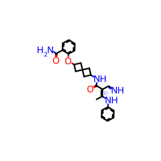 C/C(Nc1ccccc1)=C(/C=N)C(=O)NC1CC2(C1)CC(Oc1ccccc1C(N)=O)C2